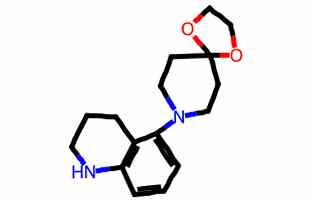 c1cc2c(c(N3CCC4(CC3)OCCO4)c1)CCCN2